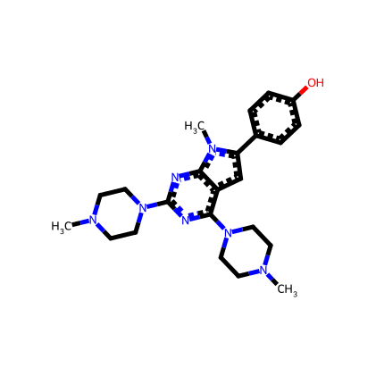 CN1CCN(c2nc(N3CCN(C)CC3)c3cc(-c4ccc(O)cc4)n(C)c3n2)CC1